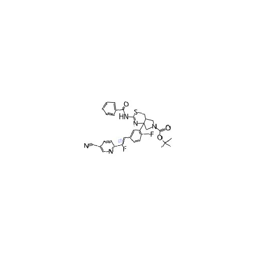 CC(C)(C)OC(=O)N1CC2CSC(NC(=O)c3ccccc3)=NC2(c2cc(/C=C(\F)c3ccc(C#N)cn3)ccc2F)C1